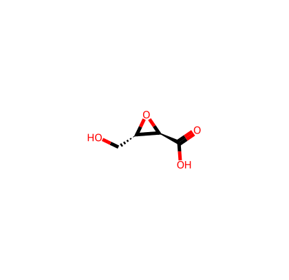 O=C(O)[C@@H]1O[C@H]1CO